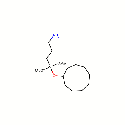 CO[Si](CCCN)(OC)OC1CCCCCCCC1